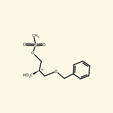 CS(=O)(=O)OC[C@@H](COCc1ccccc1)C(=O)O